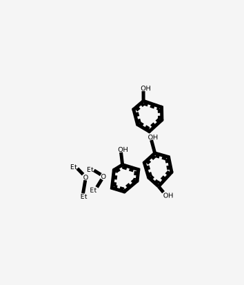 CCOCC.CCOCC.Oc1ccc(O)cc1.Oc1ccccc1.Oc1ccccc1